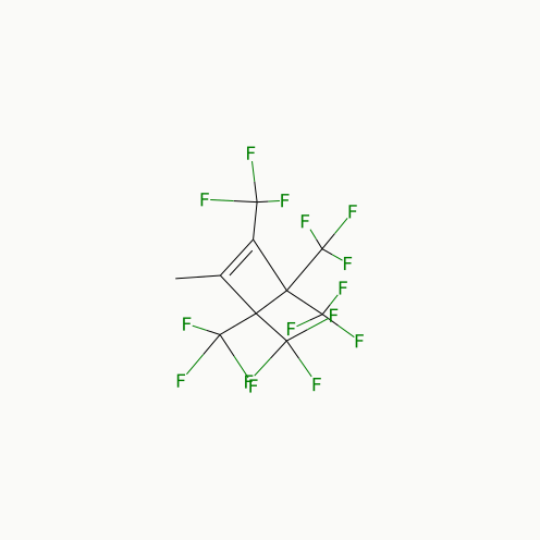 CC1=C(C(F)(F)F)C(C(F)(F)F)(C(F)(F)F)C1(C(F)(F)F)C(F)(F)F